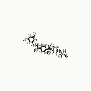 C=CC(=O)NC1CCN(S(=O)(=O)c2ccc(C(=O)NCc3cc(C)cc(C)c3)cc2)C(C)C1